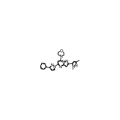 Cc1cc(-c2cc3nc(-n4ccc(-c5ccccc5)n4)cc(N4CCOCC4)n3n2)n(C)n1